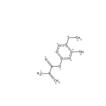 C=C(C)C(=O)Oc1ccc(CC)c(O)c1